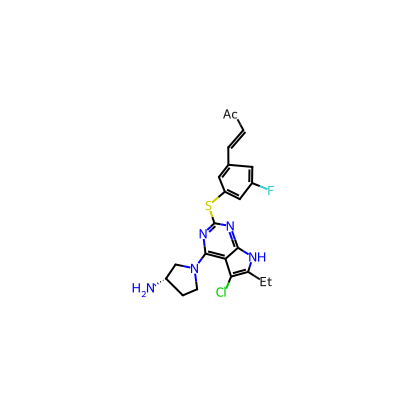 CCc1[nH]c2nc(Sc3cc(F)cc(/C=C/C(C)=O)c3)nc(N3CC[C@H](N)C3)c2c1Cl